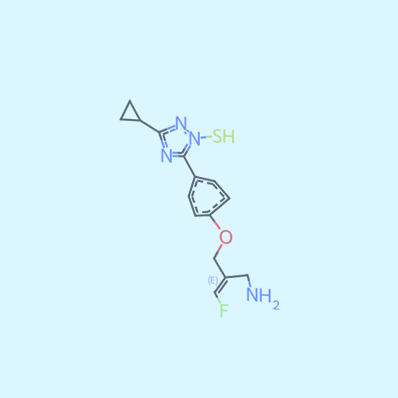 NC/C(=C\F)COc1ccc(-c2nc(C3CC3)nn2S)cc1